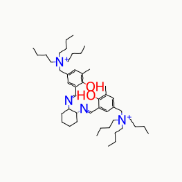 CCCC[N+](CCCC)(CCCC)Cc1cc(C)c(O)c(/C=N/C2CCCC[C@H]2/N=C/c2cc(C[N+](CCCC)(CCCC)CCCC)cc(C)c2O)c1